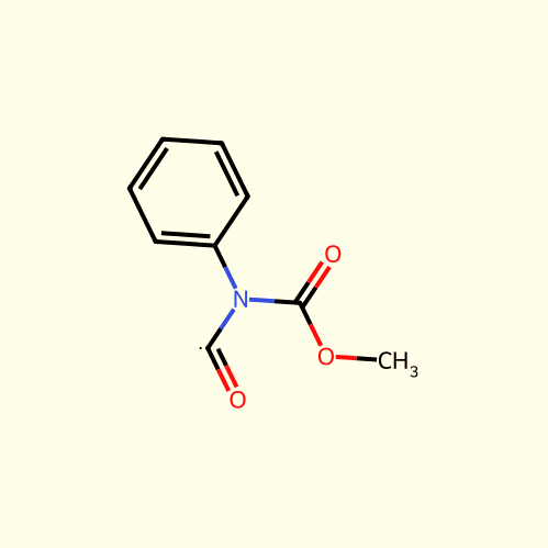 COC(=O)N([C]=O)c1ccccc1